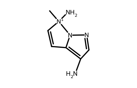 C[N+]1(N)C=Cc2c(N)cnn21